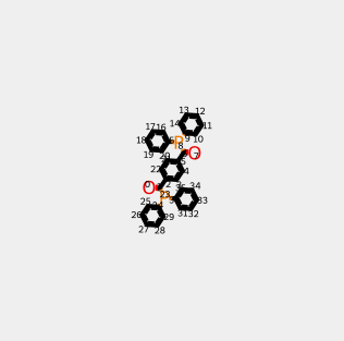 O=C(c1ccc(C(=O)P(c2ccccc2)c2ccccc2)cc1)P(c1ccccc1)c1ccccc1